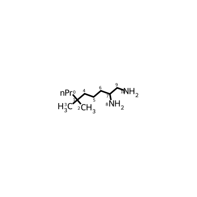 CCCC(C)(C)CCCC(N)CN